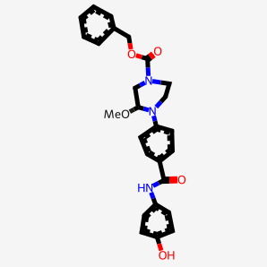 COC1CN(C(=O)OCc2ccccc2)CCN1c1ccc(C(=O)Nc2ccc(O)cc2)cc1